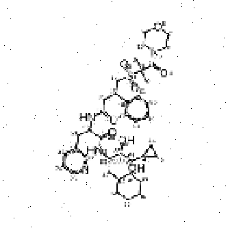 CC(C)(C(=O)N1CCOCC1)S(=O)(=O)CC(CC(=O)NC(Cc1cccnc1)C(=O)N[C@@H](CC1CCCCC1)[C@@H](O)[C@@H](O)C1CC1)c1ccccc1